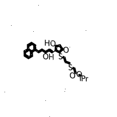 CC(C)OC(=O)CSCCCS[C@H]1C(=O)C[C@@H](O)[C@@H]1/C=C/[C@@H](O)CCc1cccc2ccccc12